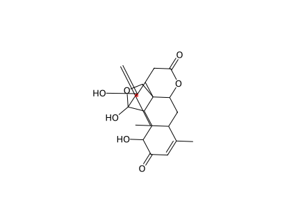 C=C1C(O)C2(O)OCC34C(CC5C(C)=CC(=O)C(O)C5(C)C23)OC(=O)CC14